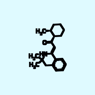 C[C@H]1CCCC[C@H]1C(=O)C=C1NC(C)(C)Cc2ccccc21